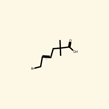 CC(C)(C/C=C/CBr)C(=O)O